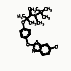 CN(C(=O)C(C)(C)Oc1ccc(Oc2nc3ccc(Cl)cc3s2)cc1)[Si](C)(C)C